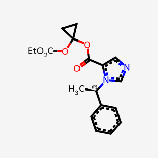 CCOC(=O)OC1(OC(=O)c2cncn2[C@H](C)c2ccccc2)CC1